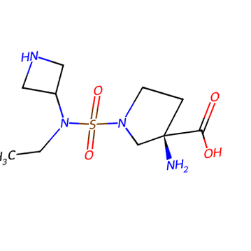 CCN(C1CNC1)S(=O)(=O)N1CC[C@](N)(C(=O)O)C1